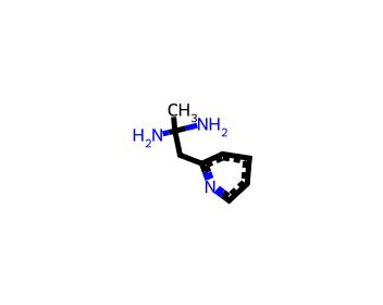 CC(N)(N)Cc1ccccn1